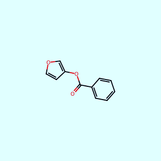 O=C(Oc1ccoc1)c1ccccc1